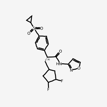 O=C(Nc1ccon1)[C@H](CC1CC(F)C(F)C1)c1ccc(S(=O)(=O)C2CC2)cc1